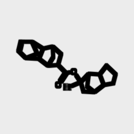 CCC1(OC(=O)C2CC3CC2C2C4C=CC(C4)C32)CC2CC1C1CCCC21